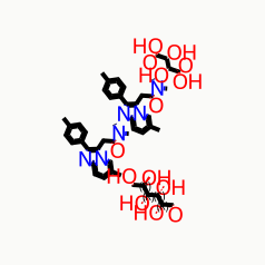 Cc1ccc(-c2nc3ccc(C)cn3c2CC(=O)N(C)C)cc1.Cc1ccc(-c2nc3ccc(C)cn3c2CC(=O)N(C)C)cc1.O=C(O)C(O)C(O)C(=O)O.O=C[C@H](O)[C@@H](O)[C@H](O)[C@H](O)CO